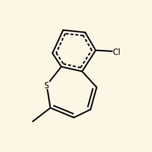 CC1=CC=Cc2c(Cl)cccc2S1